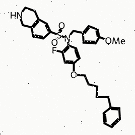 COc1ccc(CN(c2ccc(OCCCCCc3ccccc3)cc2F)S(=O)(=O)c2ccc3c(c2)CCNC3)cc1